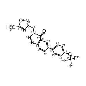 Cc1nc(Cn2nnc3ccc(-c4ccc(OC(F)(F)F)cc4)cc3c2=O)no1